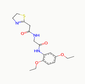 CCOc1ccc(OCC)c(NC(=O)CNC(=O)CC2=NCCS2)c1